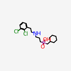 O=P(O)(CCCNCCc1cccc(Cl)c1Cl)CC1CCCCC1